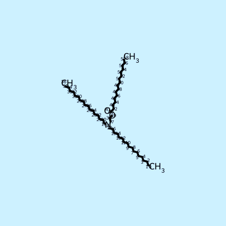 CCCCCCCCCCCCCCCCCCN(CCCCCCCCCCCCCCCCCC)CCOC(=O)CCCCCCCCCCCCCCCCC